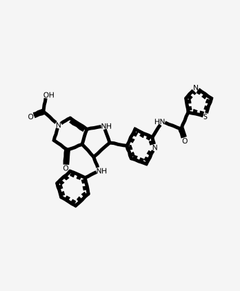 O=C(Nc1cc(C2NC3=CN(C(=O)O)CC(=O)C3C2Nc2ccccc2)ccn1)c1cncs1